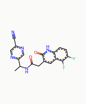 CC(NC(=O)Cc1cc2c(F)c(F)ccc2[nH]c1=O)c1cnc(C#N)cn1